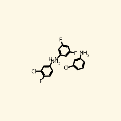 Nc1cc(F)cc(F)c1.Nc1ccc(F)c(Cl)c1.Nc1cccc(Cl)c1